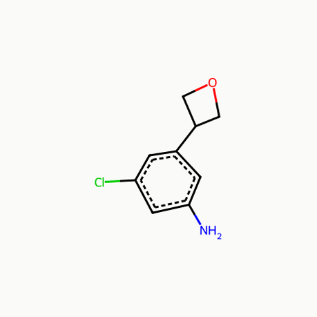 Nc1cc(Cl)cc(C2COC2)c1